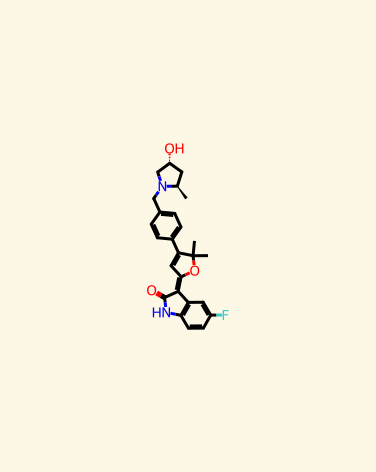 C[C@@H]1C[C@@H](O)CN1Cc1ccc(C2=C/C(=C3\C(=O)Nc4ccc(F)cc43)OC2(C)C)cc1